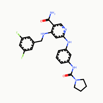 NC(=O)c1cnc(Nc2cccc(NC(=O)N3CCCC3)c2)cc1NCc1cc(F)cc(F)c1